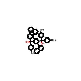 CC(C)(C)c1ccc(C(O)(c2ccc(C(C)(C)C)cc2)c2cc(-c3cccc4ccccc34)c(C(O)(c3ccc(C(C)(C)C)cc3)c3ccc(C(C)(C)C)cc3)cc2Cc2cccc3ccccc23)cc1